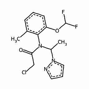 Cc1cccc(OC(F)F)c1N(C(=O)CCl)C(C)n1cccn1